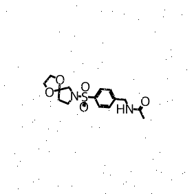 CC(=O)NCc1ccc(S(=O)(=O)N2CCC3(C2)OCCO3)cc1